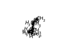 C=CC(=O)OCC[N+](C)(C)CCCC[N+](C)(C)C1CC(C)(C)NC(C)(C)C1